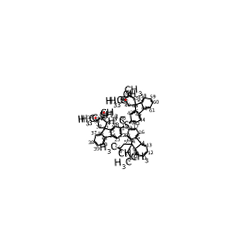 CC(C)CC1(CC(C)C)c2ccccc2-c2ccc(S(C)(c3ccc4c(c3)C(CC(C)C)(CC(C)C)c3ccccc3-4)c3ccc4c(c3)C(CC(C)C)(CC(C)C)c3ccccc3-4)cc21